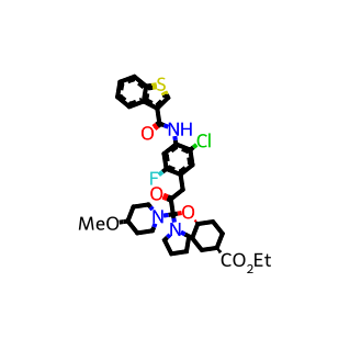 CCOC(=O)[C@H]1CC[C@H](OC(C(=O)Cc2cc(Cl)c(NC(=O)c3csc4ccccc34)cc2F)(N2CCCC2)N2CCC(OC)CC2)CC1